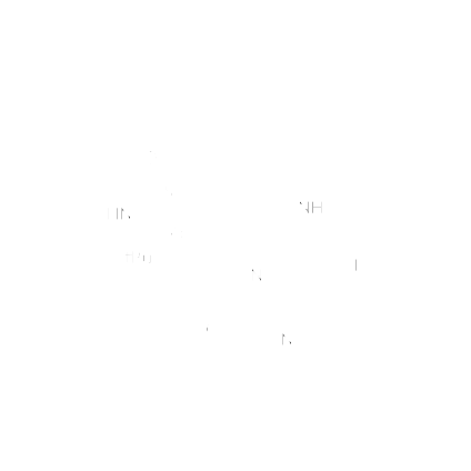 CC(C)(C)NS(=O)(=O)c1cccc(Nc2nc(Cl)ncc2F)c1